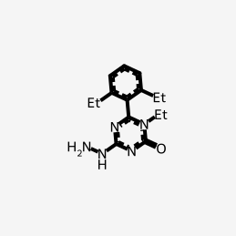 CCc1cccc(CC)c1-c1nc(NN)nc(=O)n1CC